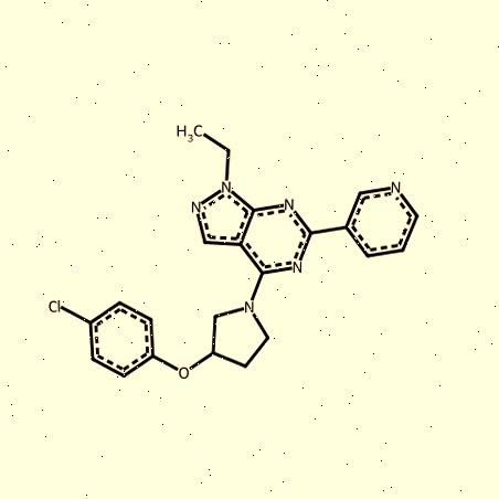 CCn1ncc2c(N3CCC(Oc4ccc(Cl)cc4)C3)nc(-c3cccnc3)nc21